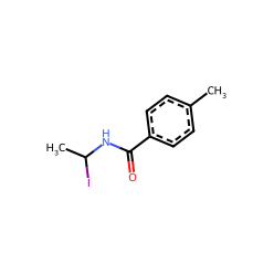 Cc1ccc(C(=O)NC(C)I)cc1